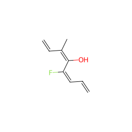 C=C/C=C(F)\C(O)=C(\C)C=C